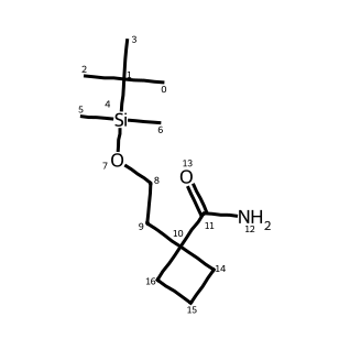 CC(C)(C)[Si](C)(C)OCCC1(C(N)=O)CCC1